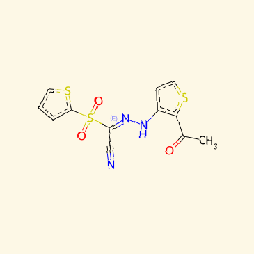 CC(=O)c1sccc1N/N=C(\C#N)S(=O)(=O)c1cccs1